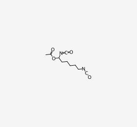 CC(=O)OC(CCCCCN=C=O)N=C=O